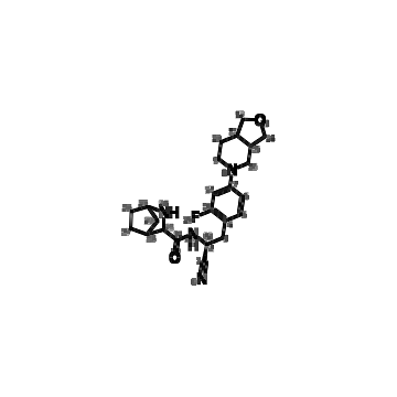 N#C[C@H](Cc1ccc(N2CCC3COCC3C2)cc1F)NC(=O)C1NC2CCC1C2